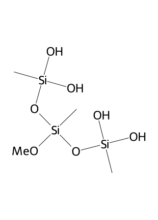 CO[Si](C)(O[Si](C)(O)O)O[Si](C)(O)O